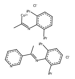 CC(=Nc1c(C(C)C)cccc1C(C)C)c1cccnc1.C[C]([Co+2])=Nc1c(C(C)C)cccc1C(C)C.[Cl-].[Cl-]